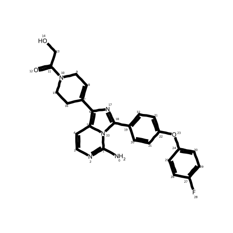 Nc1nccc2c(C3=CCN(C(=O)CO)CC3)nc(-c3ccc(Oc4ccc(F)cc4)cc3)n12